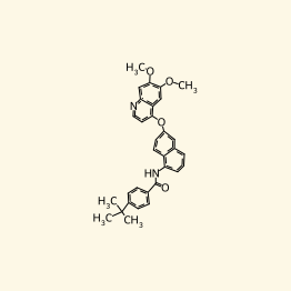 COc1cc2nccc(Oc3ccc4c(NC(=O)c5ccc(C(C)(C)C)cc5)cccc4c3)c2cc1OC